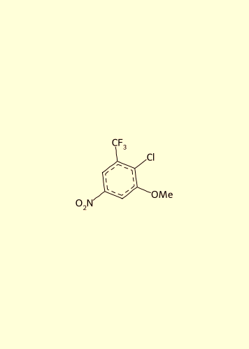 COc1cc([N+](=O)[O-])cc(C(F)(F)F)c1Cl